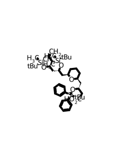 C=CC[C@@H](C[C@@H](C[C@H]1CCC[C@@H](C[C@H](CC(=O)O)O[Si](c2ccccc2)(c2ccccc2)C(C)(C)C)O1)O[Si](C)(C)C(C)(C)C)O[Si](C)(C)C(C)(C)C